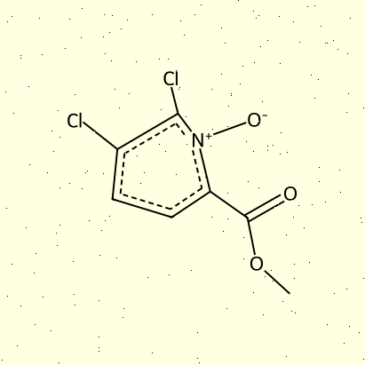 COC(=O)c1ccc(Cl)c(Cl)[n+]1[O-]